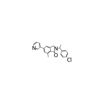 Cc1cc(-c2cccnc2)cc2c1C(=O)N(C(C)c1ccc(Cl)cc1)C2